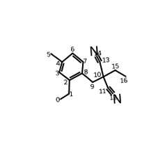 CCc1cc(C)ccc1CC(C#N)(C#N)CC